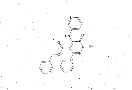 CCn1nc(-c2ccccc2)c(C(=O)OCc2ccccc2)c(Nc2cccnc2)c1=O